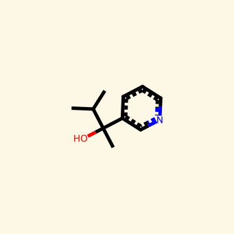 CC(C)C(C)(O)c1cccnc1